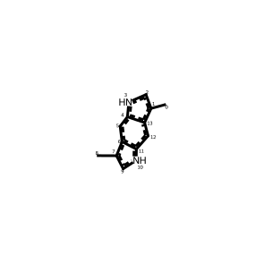 Cc1c[nH]c2cc3c(C)c[nH]c3cc12